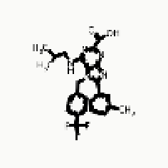 Cc1cccc(-c2nc3nc(C(=O)O)nc(NCC(C)C)c3n2Cc2ccc(C(F)(F)F)cc2)c1